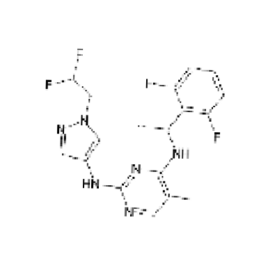 [CH2][C](Nc1nc(Nc2cnn(CC(F)F)c2)ncc1C)c1c(F)cccc1F